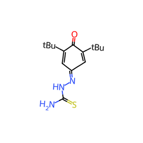 CC(C)(C)C1=CC(=NNC(N)=S)C=C(C(C)(C)C)C1=O